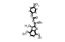 CCOc1ccc(OCC)c2c1nc([C@@H](OC(=O)Oc1ccc([N+](=O)[O-])cc1)C(C)(C)C)n2C